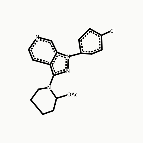 CC(=O)OC1CCCCN1c1nn(-c2ccc(Cl)cc2)c2cnccc12